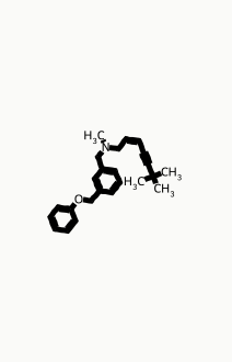 CN(C/C=C\C#CC(C)(C)C)Cc1cccc(COc2ccccc2)c1